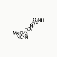 COc1cc(-c2cnc(N3CCN(C(=O)C4(F)CNC4)CC3)cc2C)cn2ncc(C#N)c12